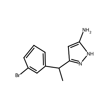 CC(c1cccc(Br)c1)c1cc(N)[nH]n1